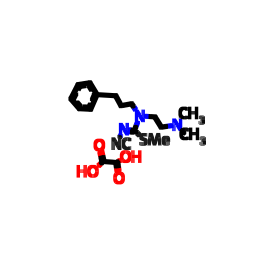 CSC(=NC#N)N(CCCc1ccccc1)CCN(C)C.O=C(O)C(=O)O